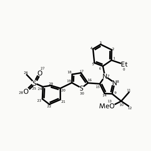 CCc1ccccc1-n1nc(C(C)(C)OC)cc1-c1ccc(-c2cccc(S(C)(=O)=O)c2)s1